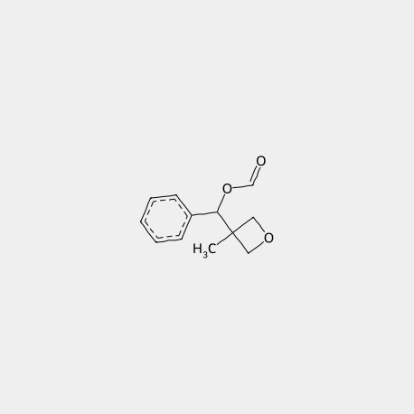 CC1(C(OC=O)c2ccccc2)COC1